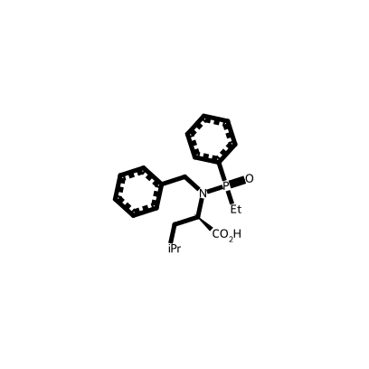 CCP(=O)(c1ccccc1)N(Cc1ccccc1)[C@H](CC(C)C)C(=O)O